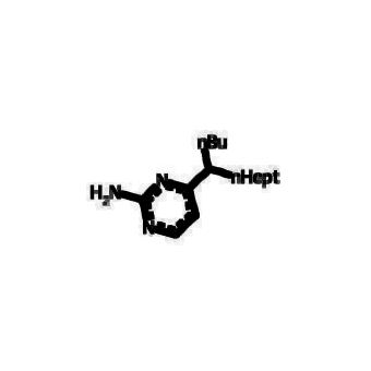 CCCCCCCC(CCCC)c1ccnc(N)n1